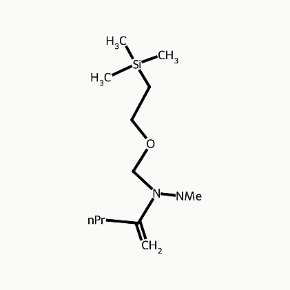 C=C(CCC)N(COCC[Si](C)(C)C)NC